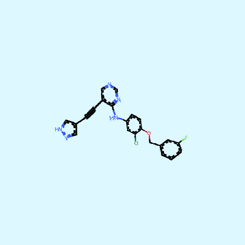 Fc1cccc(COc2ccc(Nc3ncncc3C#Cc3cn[nH]c3)cc2Cl)c1